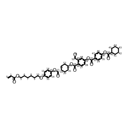 C=CC(=O)OCCCCCCOc1ccc(OC(=O)[C@H]2CC[C@H](OC(=O)c3ccc(OC(=O)c4ccc(OC(=O)C5CCCCC5)cc4)cc3C=O)CC2)cc1